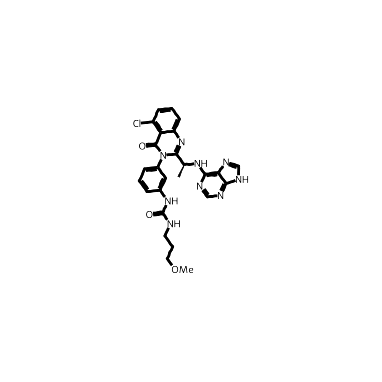 COCCCNC(=O)Nc1cccc(-n2c([C@H](C)Nc3ncnc4[nH]cnc34)nc3cccc(Cl)c3c2=O)c1